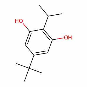 CC(C)c1c(O)cc(C(C)(C)C)cc1O